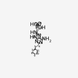 Nc1nc(CCc2ccccc2)nc2[nH]c(NCCP(=O)(O)O)nc12